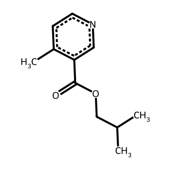 Cc1ccncc1C(=O)OCC(C)C